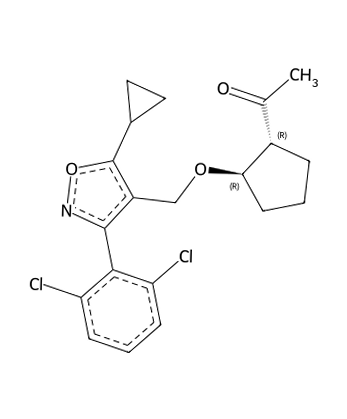 CC(=O)[C@@H]1CCC[C@H]1OCc1c(-c2c(Cl)cccc2Cl)noc1C1CC1